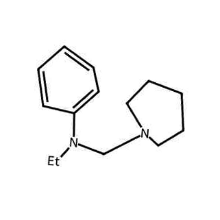 CCN(CN1CCCCC1)c1ccccc1